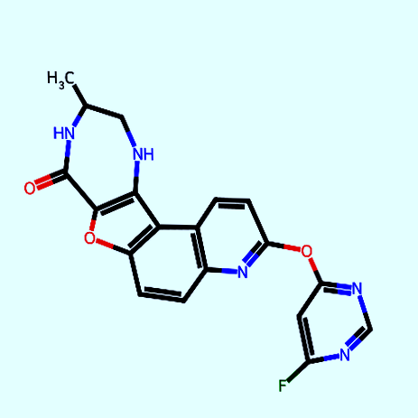 CC1CNc2c(oc3ccc4nc(Oc5cc(F)ncn5)ccc4c23)C(=O)N1